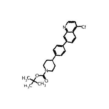 CC(C)(C)OC(=O)N1CCC(c2ccc(-c3ccc4c(Cl)ccnc4c3)cc2)CC1